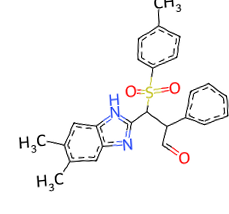 Cc1ccc(S(=O)(=O)C(c2nc3cc(C)c(C)cc3[nH]2)C(C=O)c2ccccc2)cc1